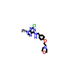 CC(C)n1cnc2c(NCc3ccc(OCCN4CCOCC4)cc3)nc(Cl)nc21